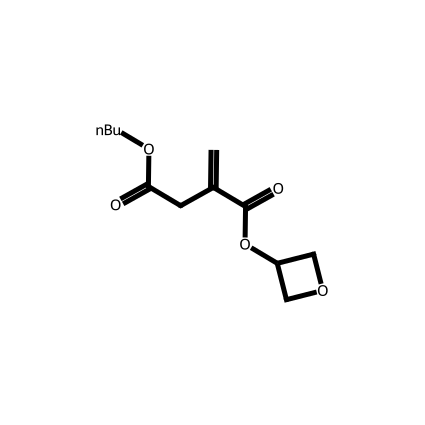 C=C(CC(=O)OCCCC)C(=O)OC1COC1